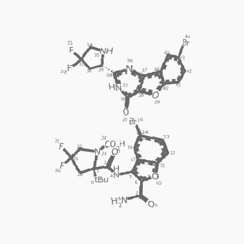 CC(C)(C)[C@@]1(C(=O)Nc2c(C(N)=O)oc3ccc(Br)cc23)CC(F)(F)CN1C(=O)O.O=c1[nH]c([C@@H]2CC(F)(F)CN2)nc2c1oc1ccc(Br)cc12